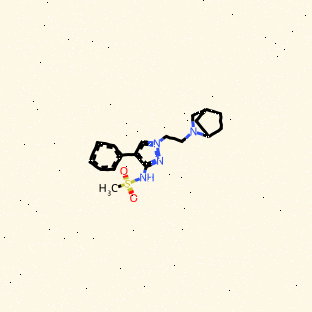 CS(=O)(=O)Nc1nn(CCN2CC3CCC2C3)cc1-c1ccccc1